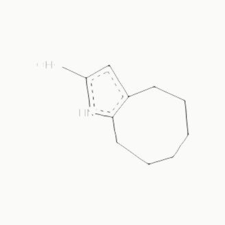 O=Cc1cc2c([nH]1)CCCCCC2